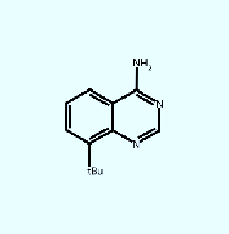 CC(C)(C)c1cccc2c(N)ncnc12